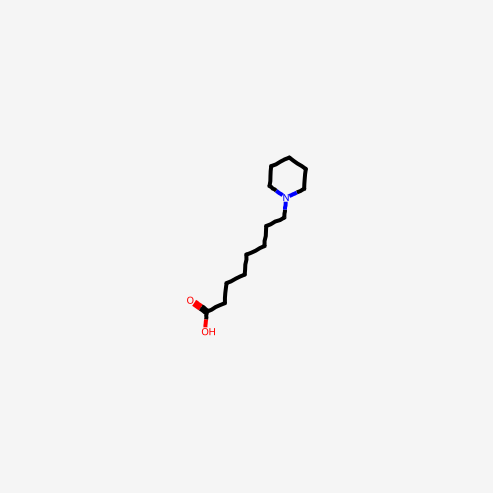 O=C(O)CCCCCCCN1CCCCC1